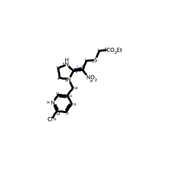 CCOC(=O)CSC/C(=C1\NCCN1Cc1ccc(Cl)nc1)[N+](=O)[O-]